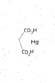 O=C(O)CC(=O)O.[Hg]